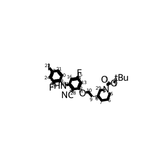 CC(C)(C)OC(=O)N1CCC[C@H](CCOc2cc(F)cc(Nc3ccc(I)cc3F)c2C#N)C1